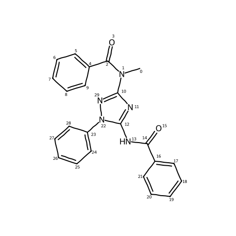 CN(C(=O)c1ccccc1)c1nc(NC(=O)c2ccccc2)n(-c2ccccc2)n1